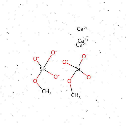 CO[Si]([O-])([O-])[O-].CO[Si]([O-])([O-])[O-].[Ca+2].[Ca+2].[Ca+2]